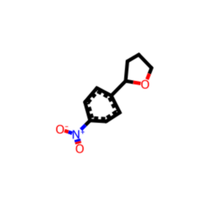 O=[N+]([O-])c1ccc(C2CCCO2)cc1